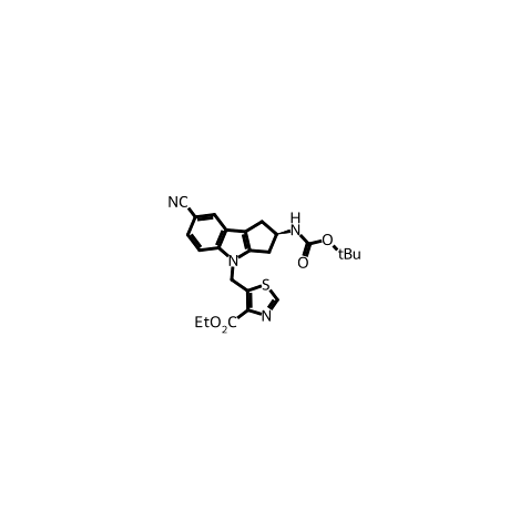 CCOC(=O)c1ncsc1Cn1c2c(c3cc(C#N)ccc31)C[C@@H](NC(=O)OC(C)(C)C)C2